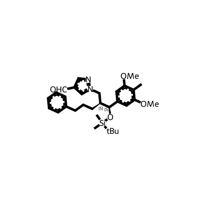 COc1cc([C@@H](O[Si](C)(C)C(C)(C)C)[C@@H](CCCc2ccccc2)Cn2cc(C=O)cn2)cc(OC)c1C